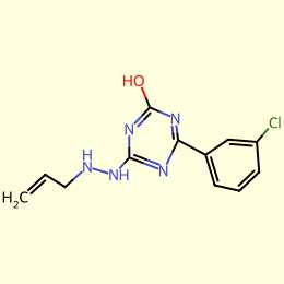 C=CCNNc1nc(O)nc(-c2cccc(Cl)c2)n1